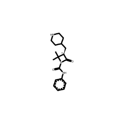 CC1(C)[C@@H](CC2CCNCC2)C(=O)N1C(=O)Nc1ccccc1